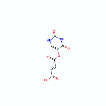 O=C(O)/C=C/C(=O)Oc1c[nH]c(=O)[nH]c1=O